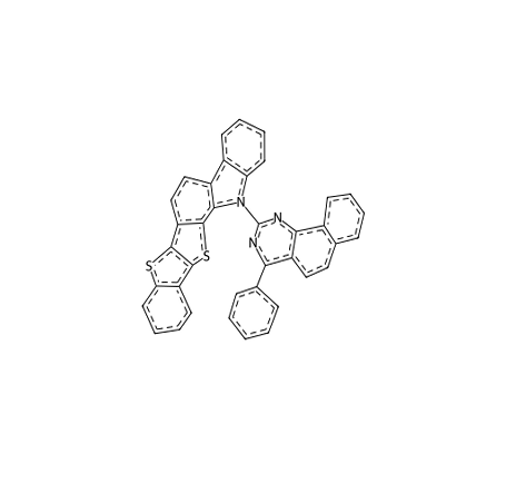 c1ccc(-c2nc(-n3c4ccccc4c4ccc5c6sc7ccccc7c6sc5c43)nc3c2ccc2ccccc23)cc1